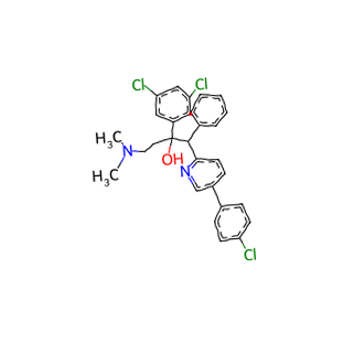 CN(C)CCC(O)(c1cc(Cl)cc(Cl)c1)C(c1ccccc1)c1ccc(-c2ccc(Cl)cc2)cn1